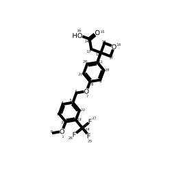 COc1ccc(COc2ccc(C3(CC(=O)O)COC3)cc2)cc1C(F)(F)F